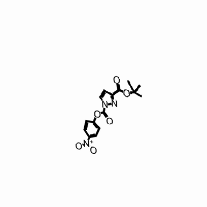 CC(C)(C)OC(=O)c1ccn(C(=O)Oc2ccc([N+](=O)[O-])cc2)n1